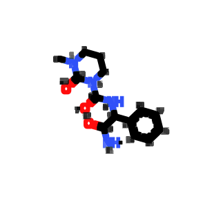 CN1CCCN(C(=O)NC(C([NH])=O)c2ccccc2)C1=O